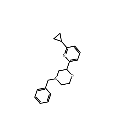 c1ccc(CN2CCOC(c3cccc(C4CC4)n3)C2)cc1